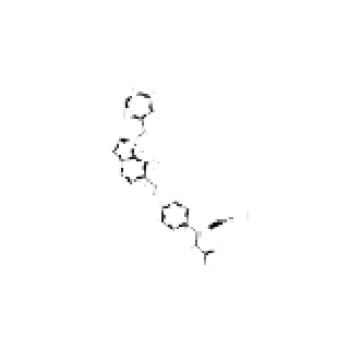 CC#C[C@@H](CC(=O)O)c1ccc(OCc2ccc3ccn(Cc4ccncn4)c3c2C)cc1